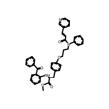 COC(=O)[C@H](Cc1ccc(OCCCN(C(=O)C=Cc2cccnc2)c2ccccc2)cc1)Nc1ccccc1C(=O)c1ccccc1